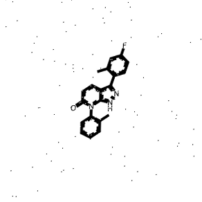 Cc1cc(F)ccc1-c1n[nH]c2c1ccc(=O)n2-c1ccccc1C